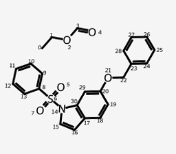 CCOC=O.O=S(=O)(c1ccccc1)n1ccc2ccc(OCc3ccccc3)cc21